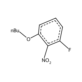 CCCCOc1cccc(F)c1[N+](=O)[O-]